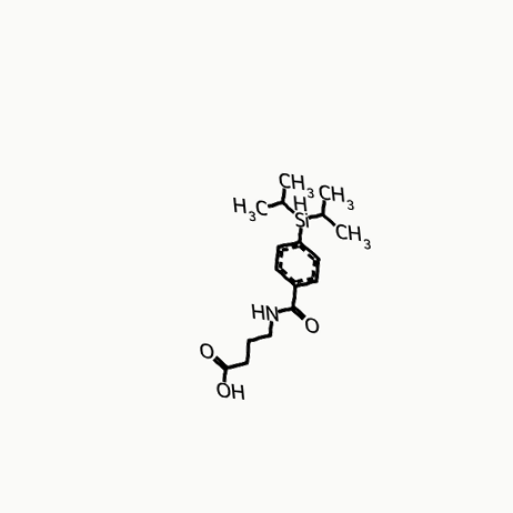 CC(C)[SiH](c1ccc(C(=O)NCCCC(=O)O)cc1)C(C)C